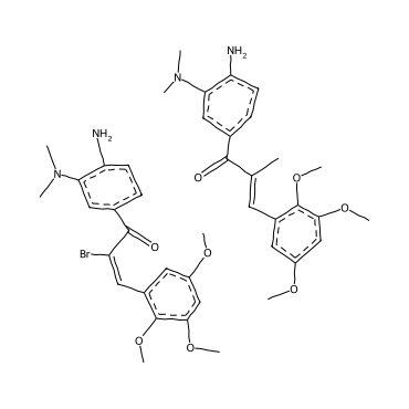 COc1cc(/C=C(/Br)C(=O)c2ccc(N)c(N(C)C)c2)c(OC)c(OC)c1.COc1cc(/C=C(\C)C(=O)c2ccc(N)c(N(C)C)c2)c(OC)c(OC)c1